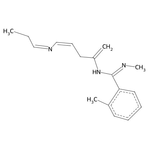 C=C(C/C=C\N=C/CC)N/C(=N/C)c1ccccc1C